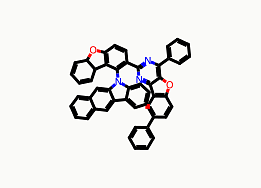 C1=CC2Oc3ccc(-c4nc(-c5ccccc5)c5oc6ccc(-c7ccccc7)cc6c5n4)c(-n4c5ccccc5c5cc6ccccc6cc54)c3C2C=C1